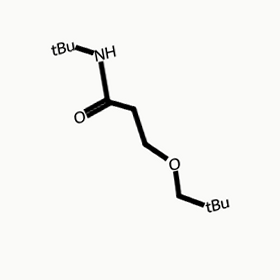 CC(C)(C)COCCC(=O)NC(C)(C)C